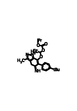 CCn1nc(C)c2c1C(OC(C)OC(=O)OC(C)C)=C(c1ccc(C(C)(C)C)cc1)C(=N)C2